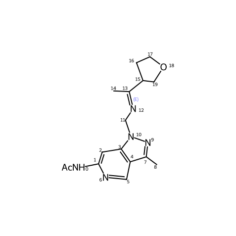 CC(=O)Nc1cc2c(cn1)c(C)nn2C/N=C(\C)C1CCOC1